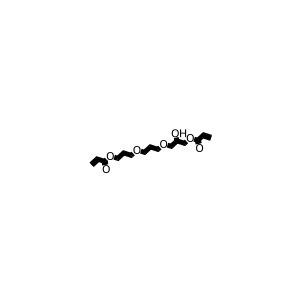 C=CC(=O)OCCCOCCCOCC(O)COC(=O)C=C